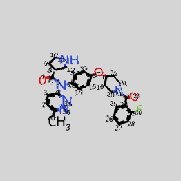 Cc1ccc(N(C(=O)[C@H]2CCNC2)c2ccc(OC3CCN(C(=O)c4ccccc4F)CC3)cc2)nn1